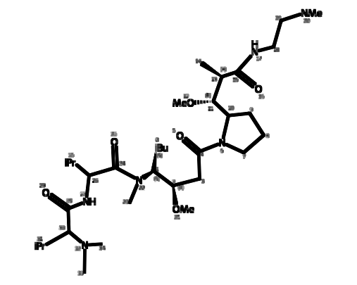 CC[C@H](C)[C@@H]([C@@H](CC(=O)N1CCCC1[C@H](OC)[C@@H](C)C(=O)NCCNC)OC)N(C)C(=O)C(NC(=O)C(C(C)C)N(C)C)C(C)C